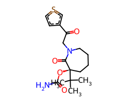 CC(C)(C)[C@@]1(OC(N)=O)CCCCN(CC(=O)c2ccsc2)C1=O